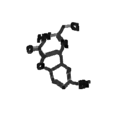 O=c1[nH]c(CCl)nc2c1OC1C=CC(Br)=CC21